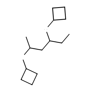 [CH2]CC(CC(C)OC1CCC1)OC1CCC1